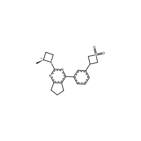 C[C@H]1CCN1c1nc2c(c(-c3cccc(C4CS(=O)(=O)C4)c3)n1)CCC2